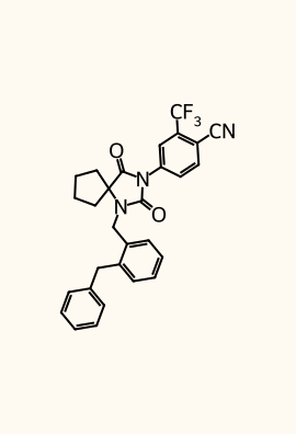 N#Cc1ccc(N2C(=O)N(Cc3ccccc3Cc3ccccc3)C3(CCCC3)C2=O)cc1C(F)(F)F